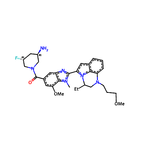 CCC1CN(CCCOC)c2cccc3cc(-c4nc5cc(C(=O)N6C[C@H](N)C[C@@H](F)C6)cc(OC)c5n4C)n1c23